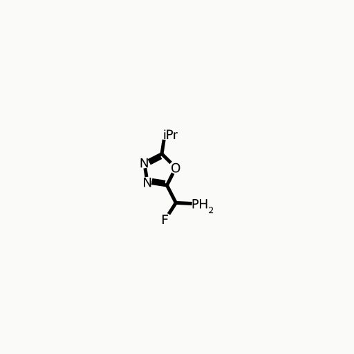 CC(C)c1nnc(C(F)P)o1